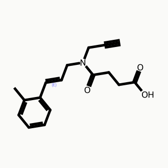 C#CCN(C/C=C/c1ccccc1C)C(=O)CCC(=O)O